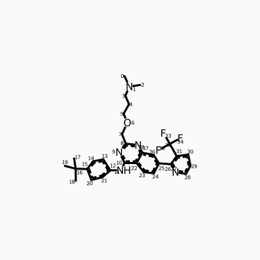 CN(C)CCCOCc1nc(Nc2ccc(C(C)(C)C)cc2)c2ccc(-c3ncccc3C(F)(F)F)cc2n1